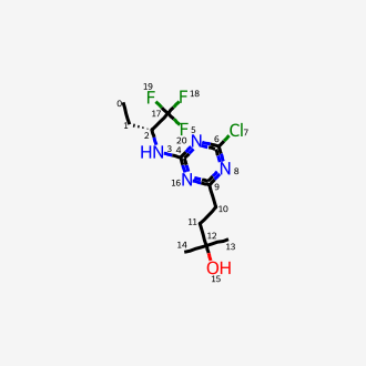 CC[C@@H](Nc1nc(Cl)nc(CCC(C)(C)O)n1)C(F)(F)F